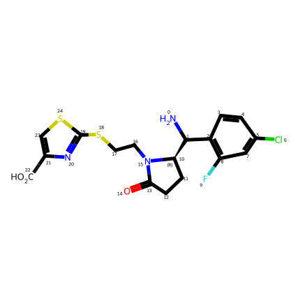 NC(c1ccc(Cl)cc1F)[C@H]1CCC(=O)N1CCSc1nc(C(=O)O)cs1